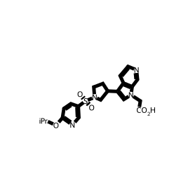 CC(C)Oc1ccc(S(=O)(=O)N2CCC(c3cn(CC(=O)O)c4cnccc34)C2)cn1